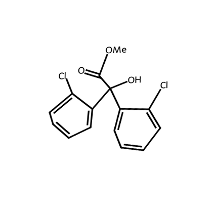 COC(=O)C(O)(c1ccccc1Cl)c1ccccc1Cl